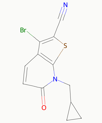 N#Cc1sc2c(ccc(=O)n2CC2CC2)c1Br